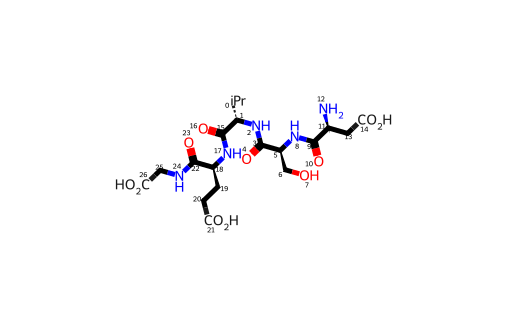 CC(C)[C@H](NC(=O)[C@H](CO)NC(=O)[C@@H](N)CC(=O)O)C(=O)N[C@@H](CCC(=O)O)C(=O)NCC(=O)O